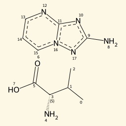 CC(C)[C@H](N)C(=O)O.Nc1nc2ncccn2n1